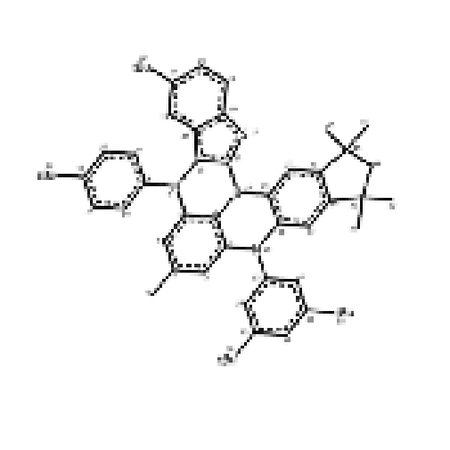 Cc1cc2c3c(c1)N(c1ccc(C(C)(C)C)cc1)c1c(sc4ccc(C(C)(C)C)cc14)B3c1cc3c(cc1N2c1cc(C(C)(C)C)cc(C(C)(C)C)c1)C(C)(C)CC3(C)C